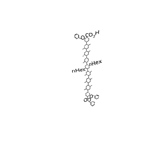 CCCCCCC1CC(C2CC(C)C(C3CC(C)C(C4CC(C)C(C5CCC(C(=O)OCc6ccccc6)C(OCc6ccccc6)C5)CC4C)CC3C)CC2C)C(CCCCCC)CC1C1CCC(C2CC(C)C(C3CC(C)C(C4CCC(C(=O)O)C(OCc5ccccc5)C4)CC3C)CC2C)CC1C